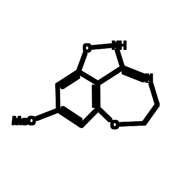 COc1cc2c3c(c1)ONC3=NCCO2